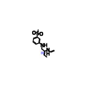 C=CN/C(=C\C)CNc1cccc(S(C)(=O)=O)c1